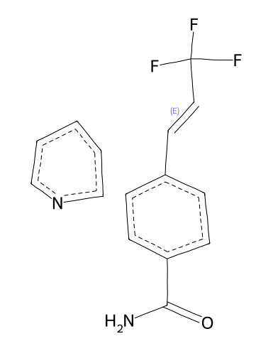 NC(=O)c1ccc(/C=C/C(F)(F)F)cc1.c1ccncc1